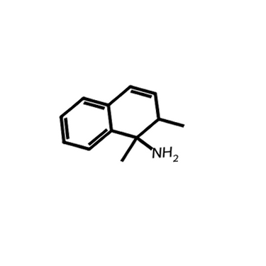 CC1C=Cc2ccccc2C1(C)N